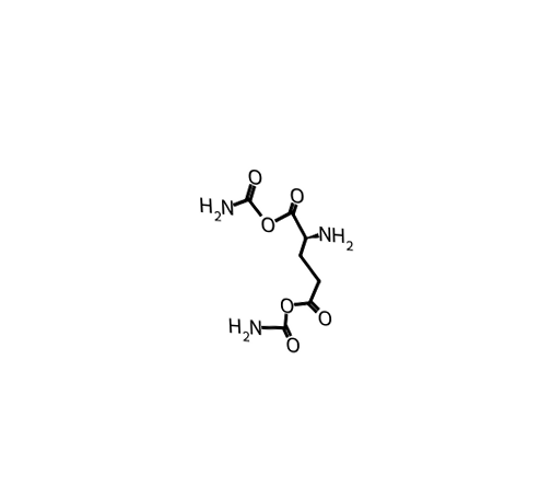 NC(=O)OC(=O)CC[C@H](N)C(=O)OC(N)=O